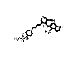 Cc1c(Nc2c(C#N)cncc2C=CCCN2CCC(NS(C)(=O)=O)CC2)ccc2[nH]ccc12